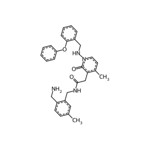 Cc1ccc(CN)c(CNC(=O)Cc2c(C)ccn(NCc3ccccc3Oc3ccccc3)c2=O)c1